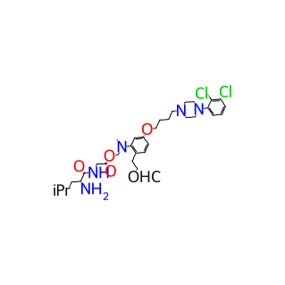 CC(C)CC(N)C(=O)NCC(=O)OCN(C)c1cc(OCCCCN2CCN(c3cccc(Cl)c3Cl)CC2)ccc1CCC=O